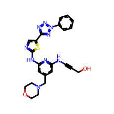 OCC#CNc1cc(CN2CCOCC2)cc(Nc2ncc(-c3nnn(-c4ccccc4)n3)s2)n1